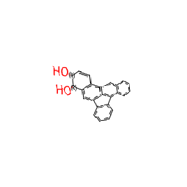 O[C@@H]1C=Cc2c(cc3c4c(c5ccccc5cc24)-c2ccccc2-3)[C@H]1O